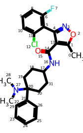 Cc1onc(-c2c(F)cccc2Cl)c1C(=O)NC1CCC(c2ccccc2)(N(C)C)CC1